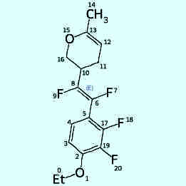 CCOc1ccc(/C(F)=C(\F)C2CC=C(C)OC2)c(F)c1F